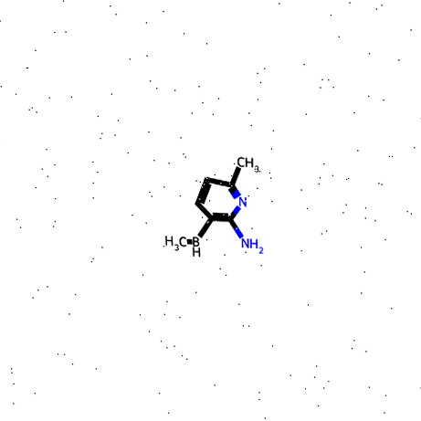 CBc1ccc(C)nc1N